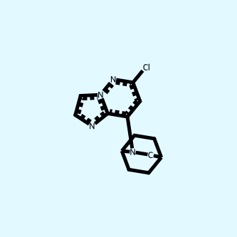 Clc1cc(N2CC3CCC2CC3)c2nccn2n1